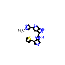 Cn1cc(-c2cc3c(-c4nc5c(-c6cccs6)cncc5[nH]4)n[nH]c3cn2)cn1